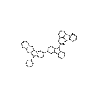 c1ccc(-n2c3ccc(-c4ccc5c(c4)c4ccccc4n5-c4cc5cccc6c5c(n4)-c4cccnc4-6)cc3c3cc4ccccc4cc32)cc1